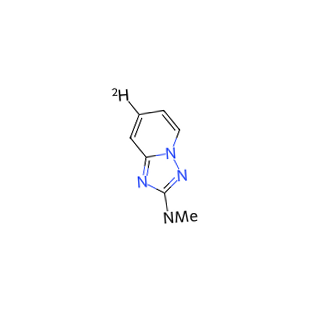 [2H]c1ccn2nc(NC)nc2c1